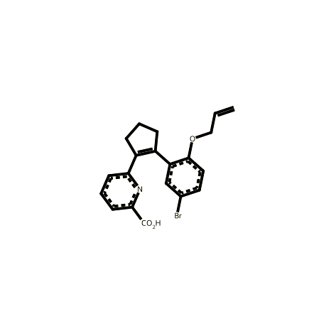 C=CCOc1ccc(Br)cc1C1=C(c2cccc(C(=O)O)n2)CCC1